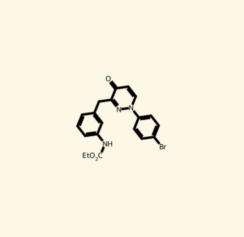 CCOC(=O)Nc1cccc(Cc2nn(-c3ccc(Br)cc3)ccc2=O)c1